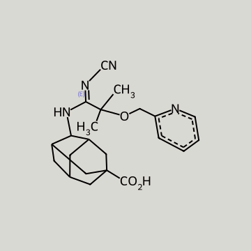 CC(C)(OCc1ccccn1)/C(=N\C#N)NC1C2CC3CC1CC(C(=O)O)(C3)C2